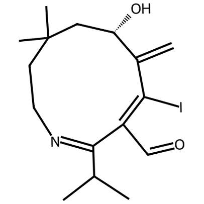 C=C1/C(I)=C(C=O)\C(C(C)C)=N/CCC(C)(C)C[C@@H]1O